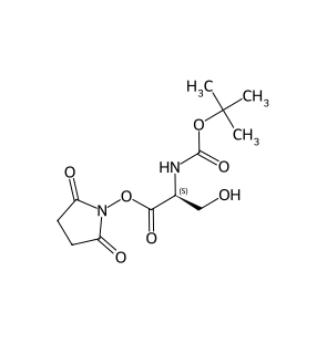 CC(C)(C)OC(=O)N[C@@H](CO)C(=O)ON1C(=O)CCC1=O